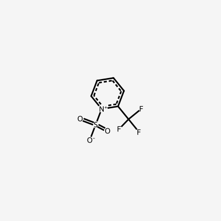 O=S(=O)([O-])[n+]1ccccc1C(F)(F)F